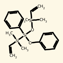 C=C[Si](C)(C)O[Si](Oc1ccccc1)(c1ccccc1)[Si](C)(C)C=C